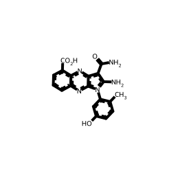 Cc1ccc(O)cc1-n1c(N)c(C(N)=O)c2nc3c(C(=O)O)cccc3nc21